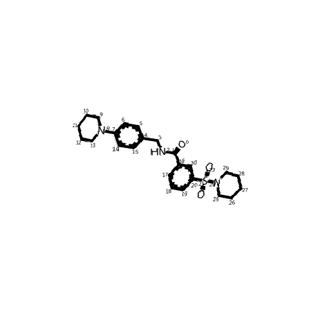 O=C(NCc1ccc(N2CCCCC2)cc1)c1cccc(S(=O)(=O)N2CCCCC2)c1